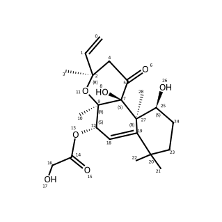 C=C[C@@]1(C)CC(=O)[C@@]2(O)[C@](C)(O1)[C@@H](OC(=O)CO)C=C1C(C)(C)CC[C@H](O)[C@@]12C